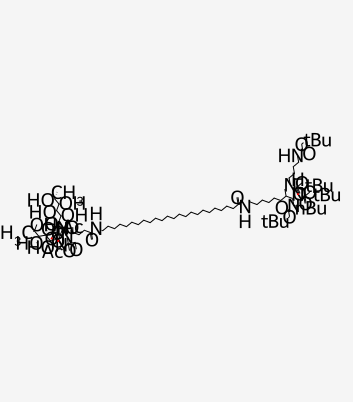 CCCCN(C(=O)OC(C)(C)C)C(NC(=O)OC(C)(C)C)C(CCCCCCNC(=O)CCCCCCCCCCCCCCCCCCCCCCCNC(=O)CCC(=O)N(C1(N(C(C)=O)C(=O)[C@H](O)[C@@H](O)[C@H](O)[C@@H](C)O)COO1)C1(N(C(C)=O)C(=O)[C@H](O)[C@@H](O)[C@H](O)[C@@H](C)O)COO1)CN(CCCCNC(=O)OC(C)(C)C)C(=O)OC(C)(C)C